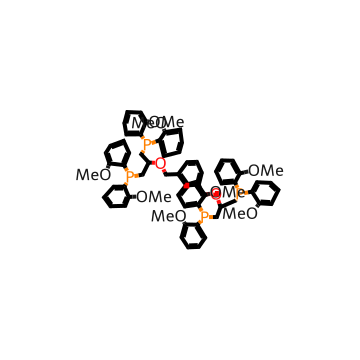 COc1ccccc1P(CC(CP(c1ccccc1OC)c1ccccc1OC)OCc1cccc(COC(CP(c2ccccc2OC)c2ccccc2OC)CP(c2ccccc2OC)c2ccccc2OC)c1)c1ccccc1OC